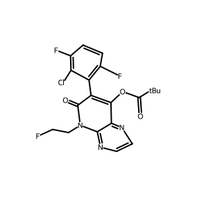 CC(C)(C)C(=O)Oc1c(-c2c(F)ccc(F)c2Cl)c(=O)n(CCF)c2nccnc12